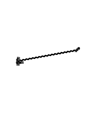 CCO[Si](CCCCCCCCCCCCCCCCCCCCCCCCCCCCCCCCCCCN=C=O)(OCC)OCC